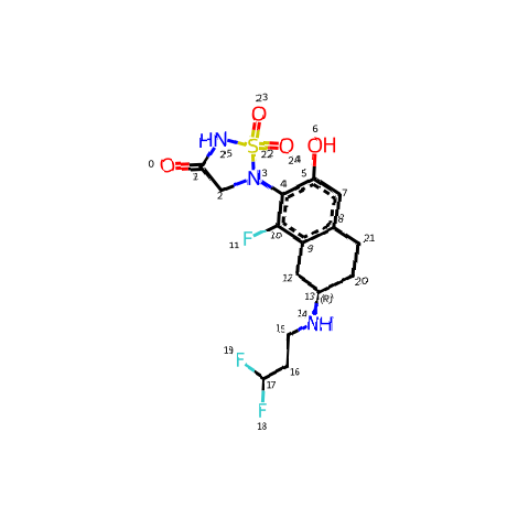 O=C1CN(c2c(O)cc3c(c2F)C[C@H](NCCC(F)F)CC3)S(=O)(=O)N1